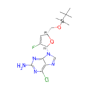 CC(C)(C)[Si](C)(C)OC[C@H]1C=C(F)[C@@H](n2cnc3c(Cl)nc(N)nc32)O1